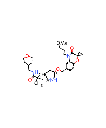 COCCCN1C(=O)C2(CC2)Oc2ccc(CO[C@@H]3CC[C@@H](CC(C)(C)C(=O)NCC4CCOCC4)NC3)cc21